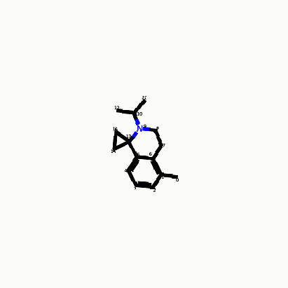 Cc1cccc2c1CCN(C(C)C)C21CC1